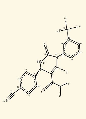 CC1=C(C(=O)C(C)C)[C@@H](c2ccc(C#N)cc2)NC(=O)N1c1cccc(C(F)(F)F)c1